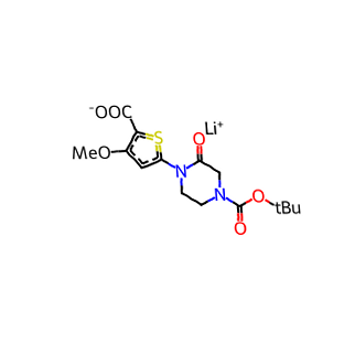 COc1cc(N2CCN(C(=O)OC(C)(C)C)CC2=O)sc1C(=O)[O-].[Li+]